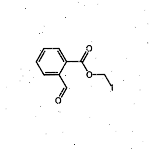 O=Cc1ccccc1C(=O)OCI